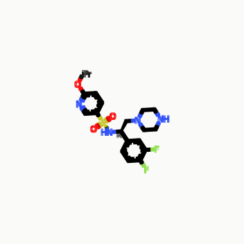 CC(C)Oc1ccc(S(=O)(=O)N[C@@H](CN2CCNCC2)c2ccc(F)c(F)c2)cn1